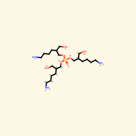 NCCCCC(CO)COP(=O)(OCC(CO)CCCCN)OCC(CO)CCCCN